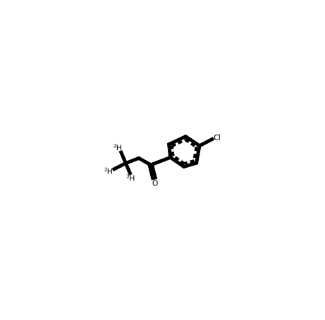 [2H]C([2H])([2H])CC(=O)c1ccc(Cl)cc1